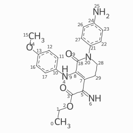 CCOC(=O)C(=N)C1=C(Nc2ccc(OC)cc2)C(=O)N(c2ccc(N)cc2)CC1